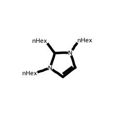 CCCCCCC1N(CCCCCC)C=CN1CCCCCC